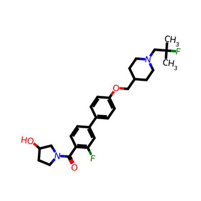 CC(C)(F)CN1CCC(COc2ccc(-c3ccc(C(=O)N4CCC(O)C4)c(F)c3)cc2)CC1